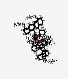 COc1cccc2c(C3C=CC=CC4=C3C=C(C)[C]43[SiH](C)[C]4(C(C)=CC5=C4C=CC=CC5c4cccc5c(OC)cccc45)[Zr]34([Cl])([Cl])[C]3(C(C)=CC5=C3C=CC=CC5c3cccc5c(OC)cccc35)[SiH](C)[C]43C(C)=CC4=C3C=CC=CC4c3cccc4c(OC)cccc34)cccc12